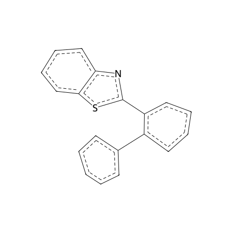 c1ccc(-c2ccccc2-c2nc3ccccc3s2)cc1